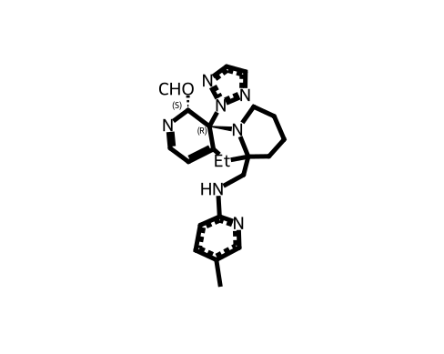 CCC1(CNc2ccc(C)cn2)CCCCN1[C@@]1(n2nccn2)C(C)=CC=N[C@@H]1C=O